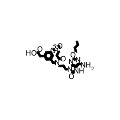 CCCCOc1nc(N)c2[nH]c(=O)n(CCCN(Cc3cccc(CC(=O)O)c3)C(=O)CCS(C)(=O)=O)c2n1